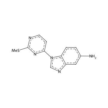 CSc1nccc(-n2cnc3cc(N)ccc32)n1